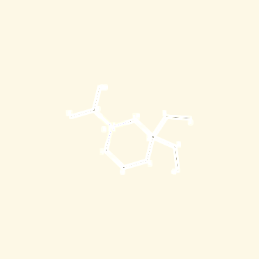 CCC1(CC)CCCN(C(C)C)C1